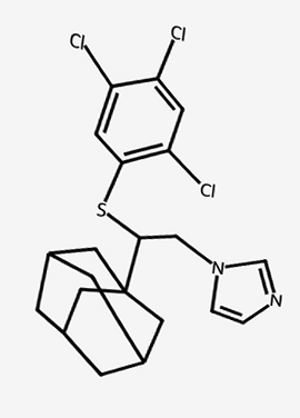 Clc1cc(Cl)c(SC(Cn2ccnc2)C23CC4CC(CC(C4)C2)C3)cc1Cl